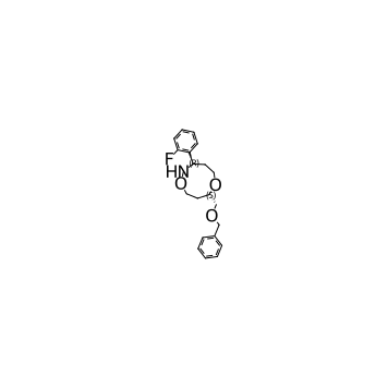 Fc1ccccc1[C@H]1CCO[C@H](COCc2ccccc2)CCON1